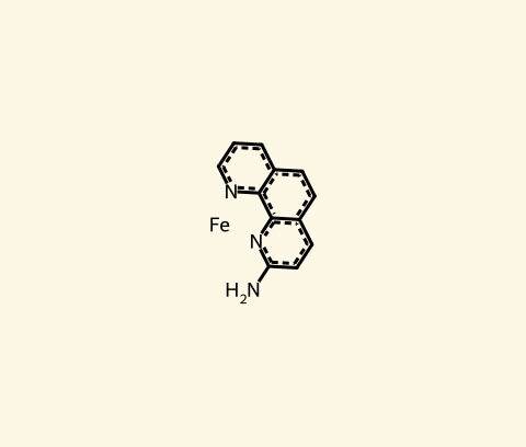 Nc1ccc2ccc3cccnc3c2n1.[Fe]